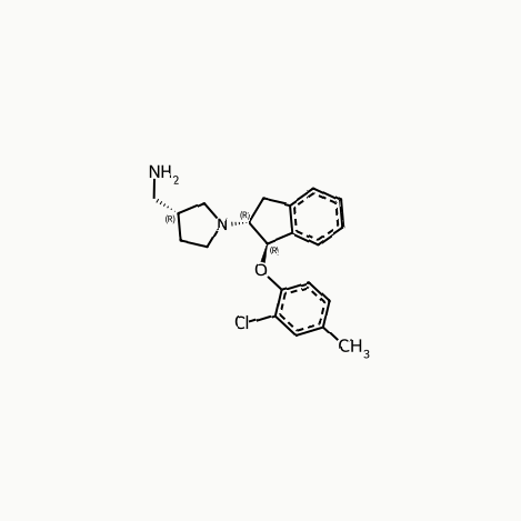 Cc1ccc(O[C@@H]2c3ccccc3C[C@H]2N2CC[C@H](CN)C2)c(Cl)c1